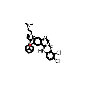 C=CC(=O)N1CC2CC(C1)C2Oc1cc2c(Nc3ccc(Cl)c(Cl)c3F)ncnc2cc1OCCN(C)C